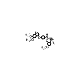 COc1ccc([C@H](C)NC(=O)Nc2ccc(Oc3ccnc4cc(OC)c(OC)cc34)cc2)cc1